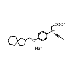 CC#C[C@@H](CC(=O)[O-])c1ccc(OCC2CCC3(CCCCC3)C2)cc1.[Na+]